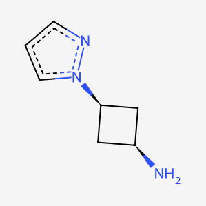 N[C@H]1C[C@@H](n2cccn2)C1